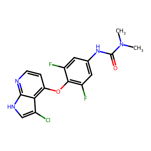 CN(C)C(=O)Nc1cc(F)c(Oc2ccnc3[nH]cc(Cl)c23)c(F)c1